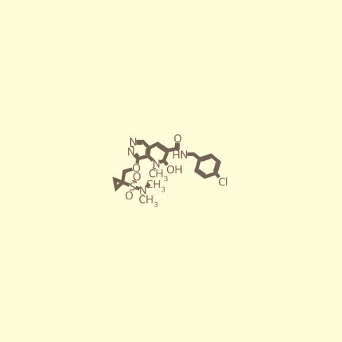 CN1c2c(cnnc2OCC2(S(=O)(=O)N(C)C)CC2)C=C(C(=O)NCc2ccc(Cl)cc2)C1O